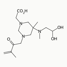 C=C(C)C(=O)CN1CN(CC(=O)O)CC(C)(N(C)CC(O)O)C1